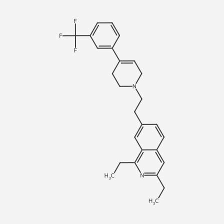 CCc1cc2ccc(CCN3CC=C(c4cccc(C(F)(F)F)c4)CC3)cc2c(CC)n1